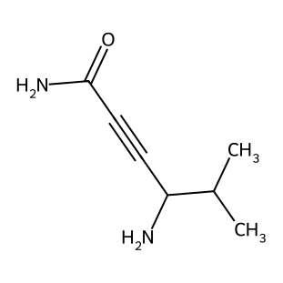 CC(C)C(N)C#CC(N)=O